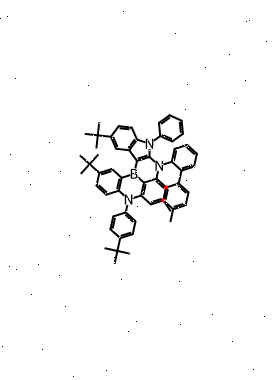 Cc1ccc(-c2ccccc2N2c3cc(C)cc4c3B(c3cc(C(C)(C)C)ccc3N4c3ccc(C(C)(C)C)cc3)c3c2n(-c2ccccc2)c2ccc(C(C)(C)C)cc32)cc1